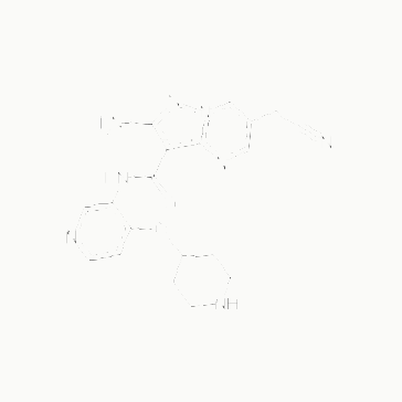 N#CCc1cnc2c(C(=O)Nc3cnccc3OC3CCNCC3)c(N)nn2c1